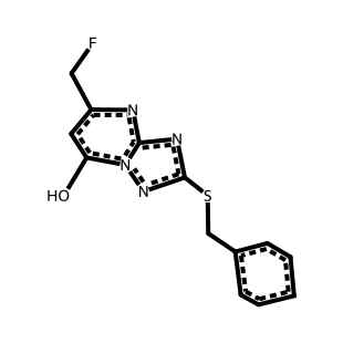 Oc1cc(CF)nc2nc(SCc3ccccc3)nn12